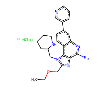 CCOCc1nc2c(N)nc3cc(-c4cccnc4)ccc3c2n1CC1CCCCN1.Cl.Cl.Cl